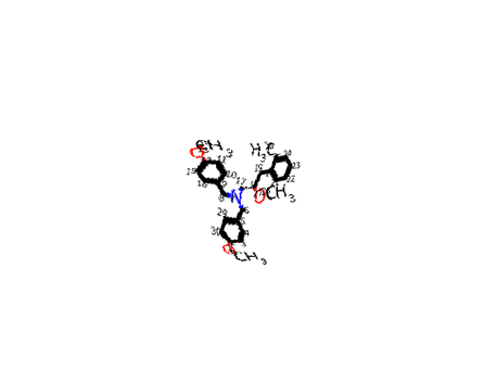 COc1ccc(CN(Cc2ccc(OC)cc2)C[C@H](Cc2ccccc2C)OC)cc1